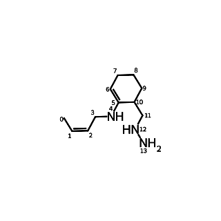 C/C=C\CNC1=CCCCC1CNN